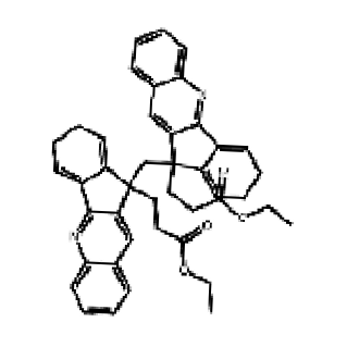 CCOC(=O)CCC1(CC2(CCC(=O)OCC)C3=CCCC=C3c3nc4ccccc4cc32)C2=CCCC=C2c2nc3ccccc3cc21